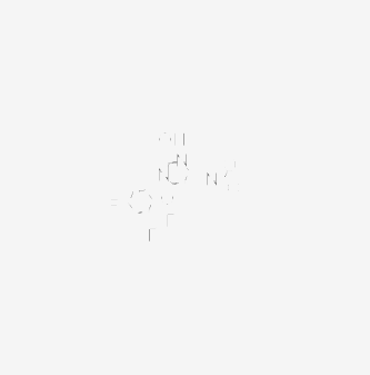 CC(C)(C)OC(=O)N1CCc2c(nc(CO)nc2Oc2ccc(F)cc2C(F)F)C1